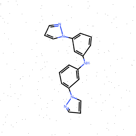 c1cc(Nc2cccc(-n3cccn3)c2)cc(-n2cccn2)c1